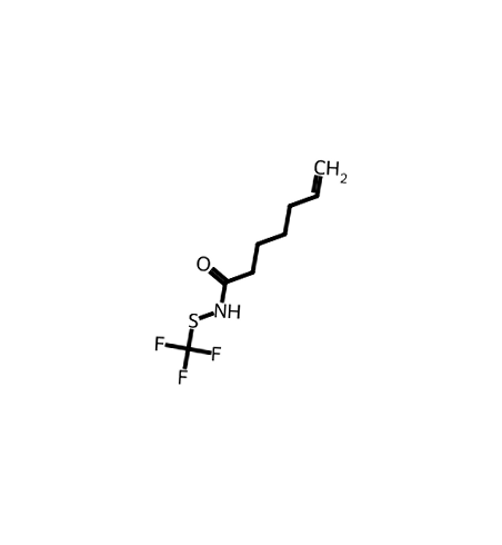 C=CCCCCC(=O)NSC(F)(F)F